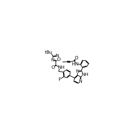 CC#CC(=O)Nc1ccccc1-c1nc2c(-c3ccc(CNC(=O)c4nc(C(C)(C)C)no4)c(F)c3)ccnc2[nH]1